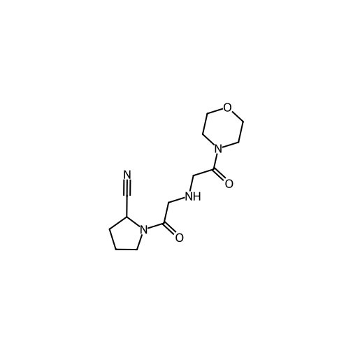 N#CC1CCCN1C(=O)CNCC(=O)N1CCOCC1